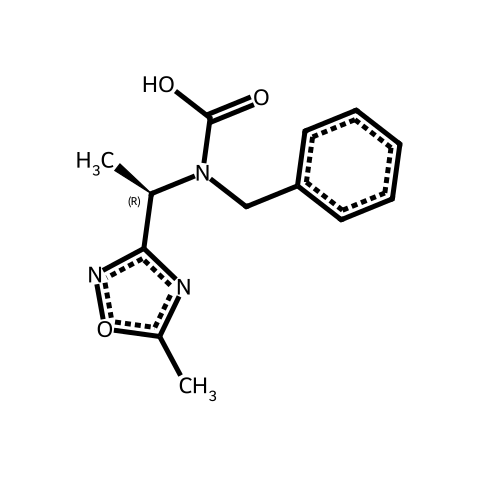 Cc1nc([C@@H](C)N(Cc2ccccc2)C(=O)O)no1